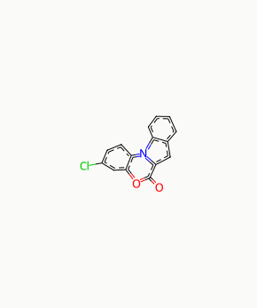 O=c1oc2cc(Cl)ccc2n2c1cc1ccccc12